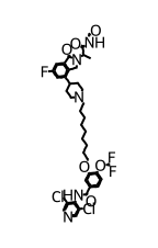 CC(C(=O)NC=O)N1Cc2c(cc(F)cc2C2CCN(CCCCCCCCCOc3cc(C(=O)Nc4c(Cl)cncc4Cl)ccc3OC(F)F)CC2)C1=O